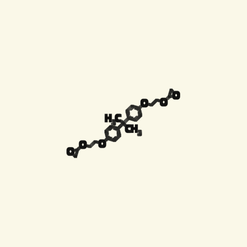 CC(C)(c1ccc(OCCOC2CO2)cc1)c1ccc(OCCOC2CO2)cc1